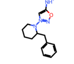 [NH-]c1c[n+](N2CCCCC2Cc2ccccc2)no1